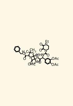 CCN1CCN(C(=O)NC(C(=O)N[C@]2(NC=O)C(=O)N3[C@@H](C(=O)OCc4ccccc4)C(C)(C)S[C@@H]32)c2ccc(OC(C)=O)c(OC(C)=O)c2)C(=O)C1=O